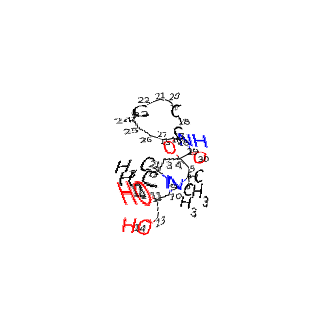 CC1(C)CC2(CC(C)(C)N1CC(O)CO)OC1(CCCCCCCCCCC1)NC2=O